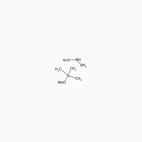 CC(=O)[O][AlH][SiH3].[CH2]O[Si](C)(C)C